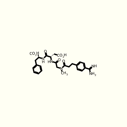 CN(CC(=O)N[C@@H](CC(=O)O)C(=O)N[C@@H](Cc1ccccc1)C(=O)O)C(=O)CCc1ccc(C(=N)N)cc1